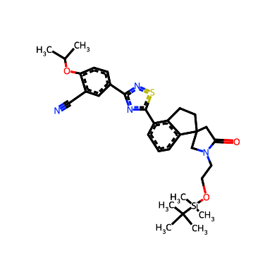 CC(C)Oc1ccc(-c2nsc(-c3cccc4c3CCC43CC(=O)N(CCO[Si](C)(C)C(C)(C)C)C3)n2)cc1C#N